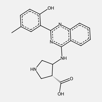 Cc1ccc(O)c(-c2nc(NC3CNC[C@H]3C(=O)O)c3ccccc3n2)c1